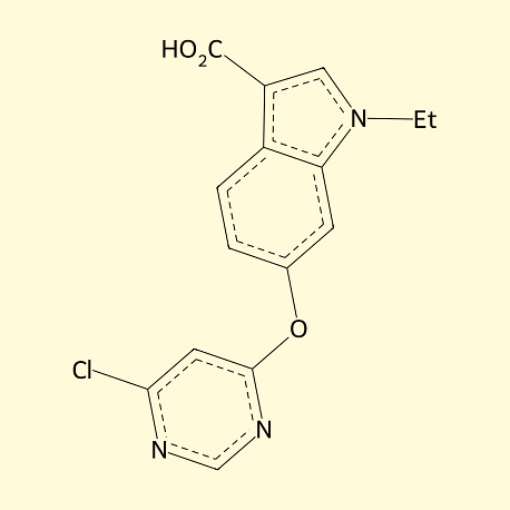 CCn1cc(C(=O)O)c2ccc(Oc3cc(Cl)ncn3)cc21